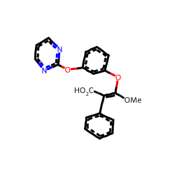 COC(Oc1cccc(Oc2ncccn2)c1)=C(C(=O)O)c1ccccc1